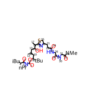 CCCN(C(=O)CC(C)CC)C(=O)OC(C[C@@H](C)CC(O)C(C)C1=NC(CCC(=O)NCC(=O)N(C)CC(=O)NC)CS1)C(C)(C)C